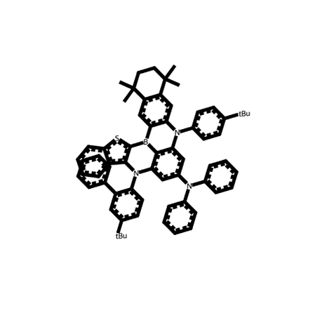 CC(C)(C)c1ccc(N2c3cc4c(cc3B3c5sc6ccccc6c5N(c5ccc(C(C)(C)C)cc5-c5ccccc5)c5cc(N(c6ccccc6)c6ccccc6)cc2c53)C(C)(C)CCC4(C)C)cc1